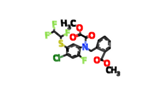 COC(=O)C(=O)N(Cc1ccccc1C(=O)OC)c1cc(SC(F)C(F)F)c(Cl)cc1F